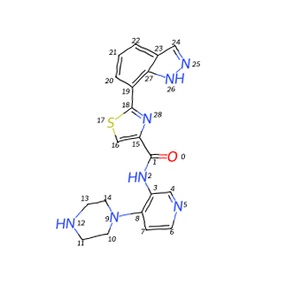 O=C(Nc1cnccc1N1CCNCC1)c1csc(-c2cccc3cn[nH]c23)n1